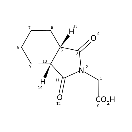 O=C(O)CN1C(=O)[C@H]2CCCC[C@H]2C1=O